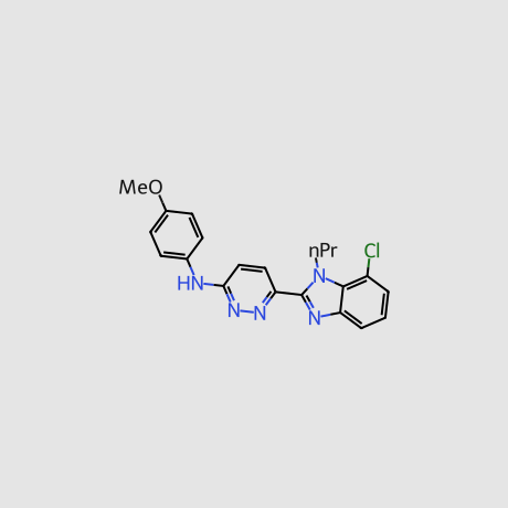 CCCn1c(-c2ccc(Nc3ccc(OC)cc3)nn2)nc2cccc(Cl)c21